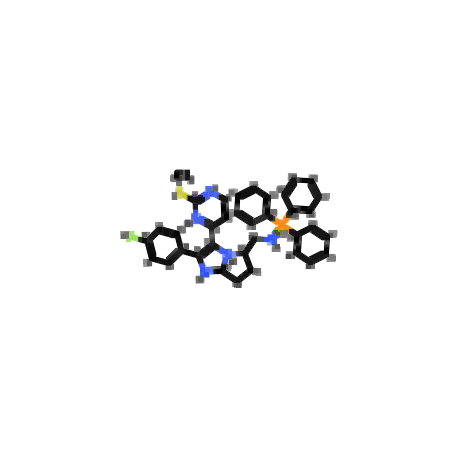 CSc1nccc(-c2c(-c3ccc(F)cc3)nc3n2C(CN=P(c2ccccc2)(c2ccccc2)c2ccccc2)CC3)n1